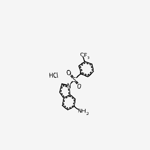 Cl.Nc1ccc2ccn(S(=O)(=O)c3cccc(C(F)(F)F)c3)c2c1